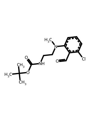 CN(CCNC(=O)OC(C)(C)C)c1cccc(Cl)c1C=O